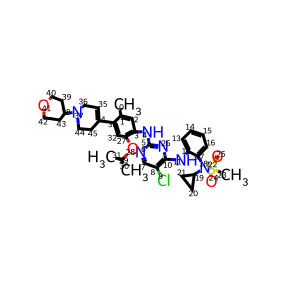 Cc1cc(Nc2ncc(Cl)c(Nc3ccccc3N(C3CC3)S(C)(=O)=O)n2)c(OC(C)C)cc1C1=CCN(C2CCOCC2)CC1